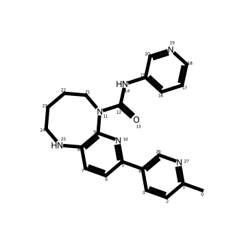 Cc1ccc(-c2ccc3c(n2)N(C(=O)Nc2cccnc2)CCCCN3)cn1